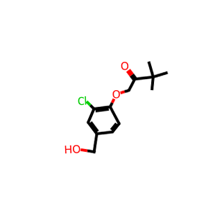 CC(C)(C)C(=O)COc1ccc(CO)cc1Cl